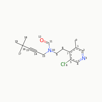 Cc1cncc(Cl)c1CCN(C=O)CC#CC(C)(C)C